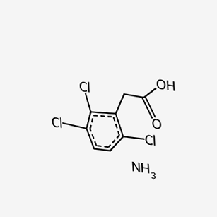 N.O=C(O)Cc1c(Cl)ccc(Cl)c1Cl